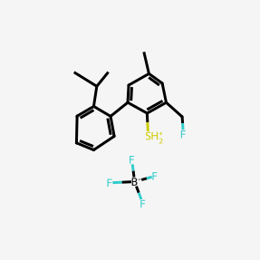 Cc1cc(CF)c([SH2+])c(-c2ccccc2C(C)C)c1.F[B-](F)(F)F